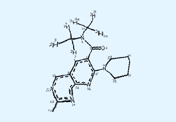 [2H]C([2H])([2H])N(C(=O)c1cc2cnc(C)nc2nc1N1CCCC1)C([2H])([2H])[2H]